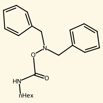 CCCCCCNC(=O)ON(Cc1ccccc1)Cc1ccccc1